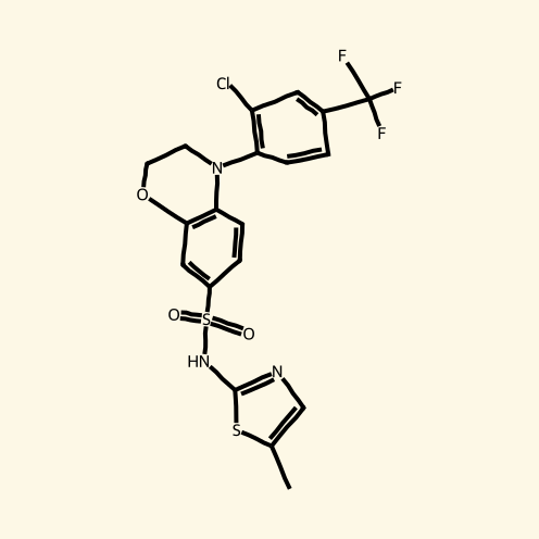 Cc1cnc(NS(=O)(=O)c2ccc3c(c2)OCCN3c2ccc(C(F)(F)F)cc2Cl)s1